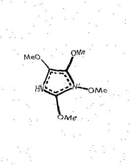 COc1[nH]c(OC)[n+](OC)c1OC